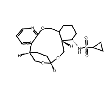 O=S(=O)(N[C@H]1CCCC2COc3ncccc3[C@H]3CC[C@H](CC3)OC[C@H]21)C1CC1